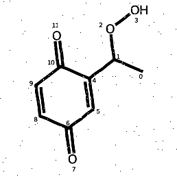 CC(OO)C1=CC(=O)C=CC1=O